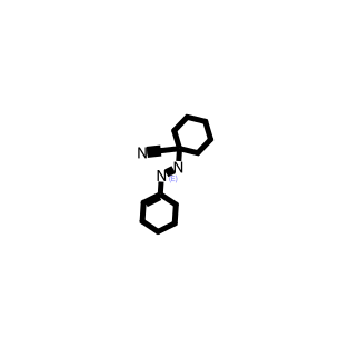 N#CC1(/N=N/C2=CCCCC2)CCCCC1